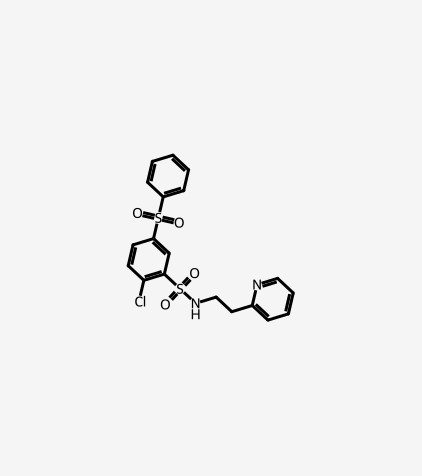 O=S(=O)(NCCc1ccccn1)c1cc(S(=O)(=O)c2ccccc2)ccc1Cl